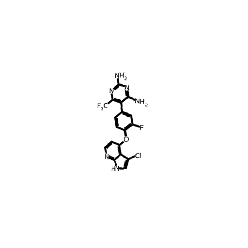 Nc1nc(N)c(-c2ccc(Oc3ccnc4[nH]cc(Cl)c34)c(F)c2)c(C(F)(F)F)n1